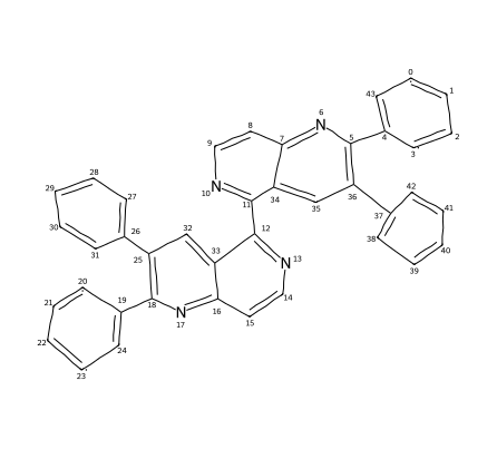 [c]1cc[c]c(-c2nc3ccnc(-c4nccc5nc(-c6[c]cc[c]c6)c(-c6ccccc6)cc45)c3cc2-c2ccccc2)c1